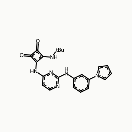 CC(C)(C)Nc1c(Nc2ccnc(Nc3cccc(-n4cccc4)c3)n2)c(=O)c1=O